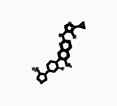 Cc1cc2cnc(Nc3cnn(C4CC4)c3Cl)nc2cc1[C@@H]1CCN([C@H]2COC[C@H]2C)C[C@H]1F